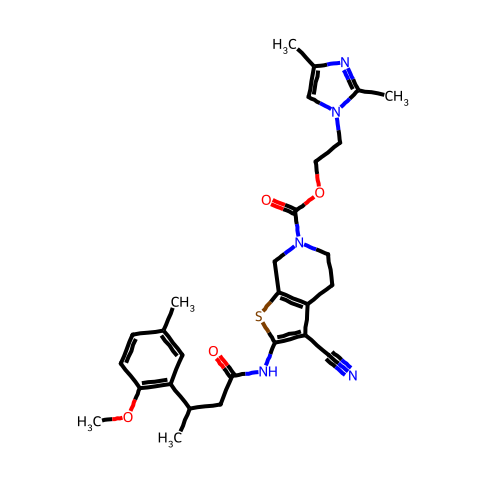 COc1ccc(C)cc1C(C)CC(=O)Nc1sc2c(c1C#N)CCN(C(=O)OCCn1cc(C)nc1C)C2